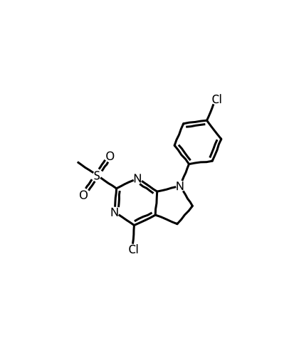 CS(=O)(=O)c1nc(Cl)c2c(n1)N(c1ccc(Cl)cc1)CC2